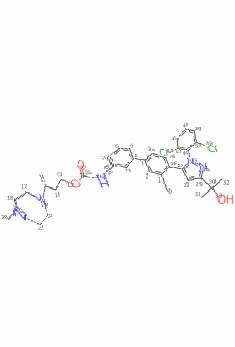 Cc1cc(-c2cccc(NC(=O)OCCCN3CCN(C)CC3)c2)ccc1-c1cc(C(C)(C)O)nn1-c1c(Cl)cccc1Cl